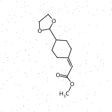 COC(=O)C=C1CCC(C2OCCO2)CC1